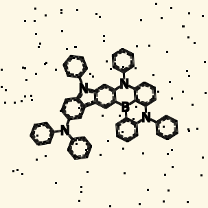 c1ccc(N(c2ccccc2)c2ccc3c(c2)c2cc4c(cc2n3-c2ccccc2)N(c2ccccc2)c2cccc3c2B4c2ccccc2N3c2ccccc2)cc1